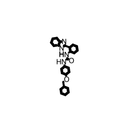 O=C(Nc1ccc(OCc2ccccc2)cc1)Nc1ccccc1-c1nc2ccccc2[nH]1